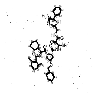 CCCC(NC(=O)[C@@H]1C[C@@H](OCc2ccccc2)CN1C(=O)C(NC(=O)c1c(C)cccc1C)C1CCCCC1)C(=O)C(=O)NCC(=O)NC(C(N)=O)c1ccccc1